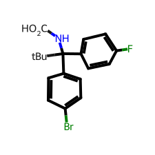 CC(C)(C)C(NC(=O)O)(c1ccc(F)cc1)c1ccc(Br)cc1